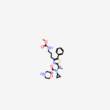 COC(=O)NCCCc1nc([C@@H](C)N(C(=O)[C@H]2CNCCO2)C2CC2)sc1-c1ccccc1